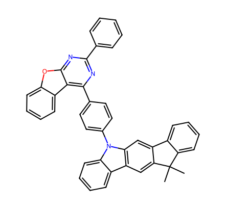 CC1(C)c2ccccc2-c2cc3c(cc21)c1ccccc1n3-c1ccc(-c2nc(-c3ccccc3)nc3oc4ccccc4c23)cc1